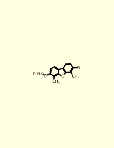 CCCCCCOc1ccc2c(oc3c(C)c(CC)ccc32)c1C